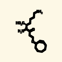 NCCCC[C@@H](C(=O)O)N(N)C(=O)CCOC1C#CCCCCC1